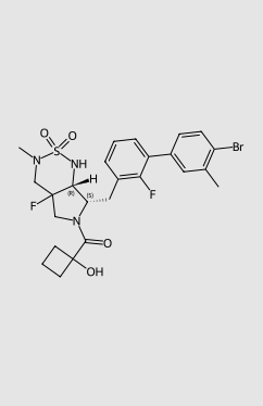 Cc1cc(-c2cccc(C[C@H]3[C@H]4NS(=O)(=O)N(C)CC4(F)CN3C(=O)C3(O)CCC3)c2F)ccc1Br